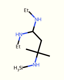 CCNC(CC(C)(C)N[SiH3])NCC